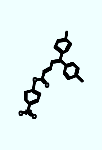 Cc1ccc(C(=CC=CC(=O)Oc2ccc([N+](=O)[O-])cc2)c2ccc(C)cc2)cc1